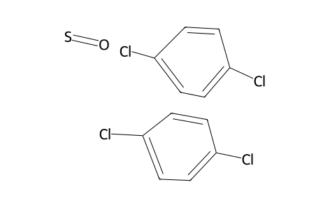 Clc1ccc(Cl)cc1.Clc1ccc(Cl)cc1.O=S